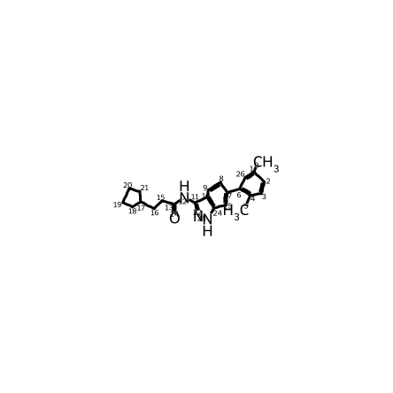 Cc1ccc(C)c(-c2ccc3c(NC(=O)CCC4CCCC4)n[nH]c3c2)c1